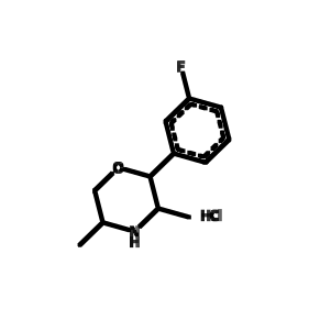 CC1COC(c2cccc(F)c2)C(C)N1.Cl